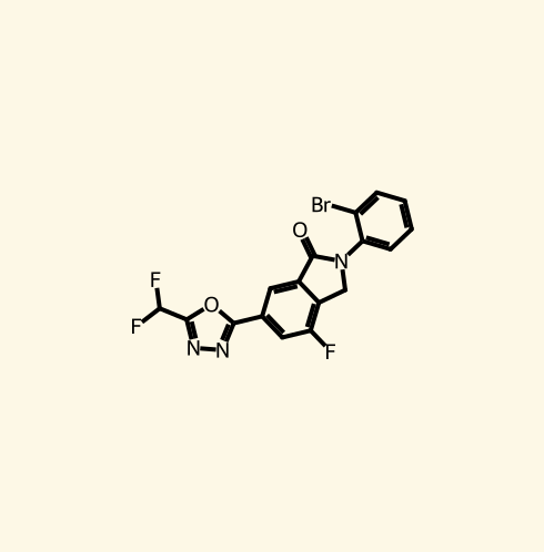 O=C1c2cc(-c3nnc(C(F)F)o3)cc(F)c2CN1c1ccccc1Br